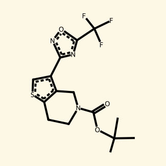 CC(C)(C)OC(=O)N1CCc2scc(-c3noc(C(F)(F)F)n3)c2C1